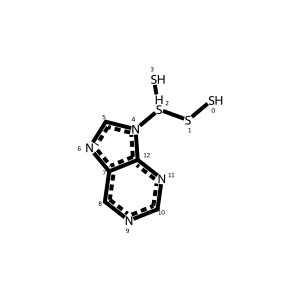 SS[SH](S)n1cnc2cncnc21